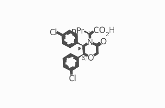 CCC[C@@H](C(=O)O)N1C(=O)CO[C@@H](c2cccc(Cl)c2)[C@H]1c1ccc(Cl)cc1